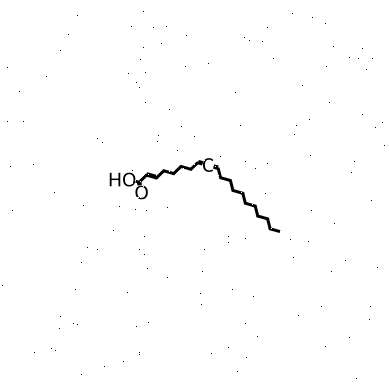 CCCCCCCCCCC=C=CCCCCC=CC(=O)O